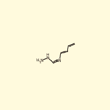 C=C/C=C/N=C\NN